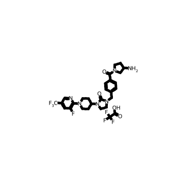 NC1CCN(C(=O)c2ccc(CN3CCN(C4CCN(c5ncc(C(F)(F)F)cc5F)CC4)C3=O)cc2)C1.O=C(O)C(F)(F)F